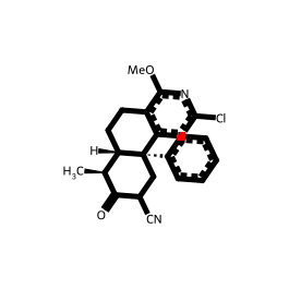 COc1nc(Cl)nc2c1CC[C@H]1[C@H](C)C(=O)C(C#N)C[C@]21c1ccccc1